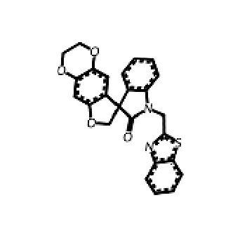 O=C1N(Cc2nc3ccccc3s2)c2ccccc2C12COc1cc3c(cc12)OCCO3